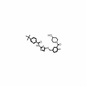 Cc1ccc(CSc2cnc(NC(=O)c3ccc(C(C)(C)C)cc3)s2)cc1C(=O)N1CCC(O)CC1